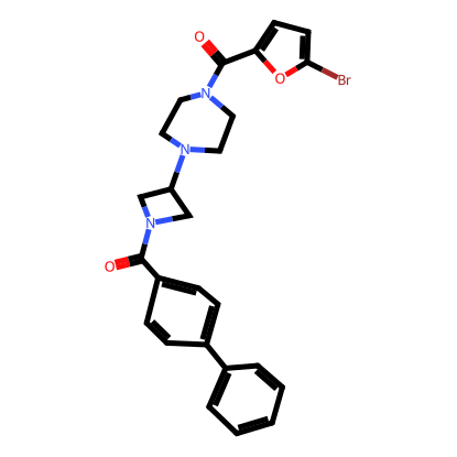 O=C(c1ccc(-c2ccccc2)cc1)N1CC(N2CCN(C(=O)c3ccc(Br)o3)CC2)C1